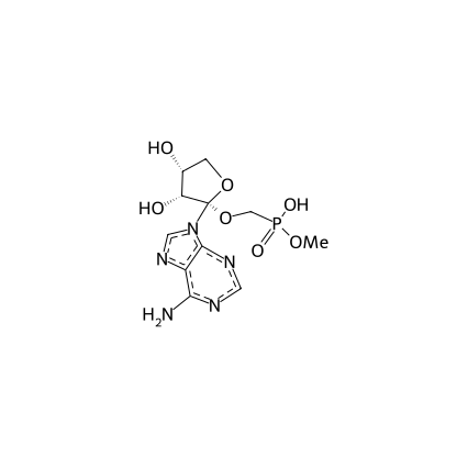 COP(=O)(O)CO[C@@]1(n2cnc3c(N)ncnc32)OC[C@@H](O)[C@H]1O